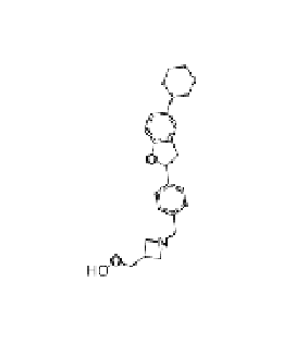 OOCC1CN(Cc2ccc(C3Cc4cc(C5CCCCC5)ccc4O3)cc2)C1